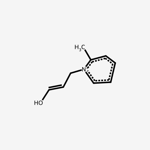 Cc1cccc[n+]1CC=CO